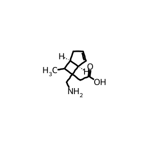 CC1[C@H]2CC=C[C@H]2C1(CN)CC(=O)O